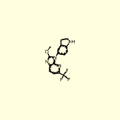 COc1nc2ccc(C(F)(F)F)nc2n1-c1ccc2c(c1)CCN2